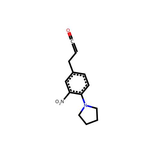 O=C=CCc1ccc(N2CCCC2)c([N+](=O)[O-])c1